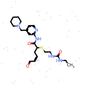 CCNC(=O)NCCSC(C/C=C\C=O)C(=O)Nc1cc(CN2CCCCC2)ccn1